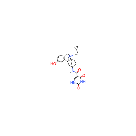 CN(C(=O)c1c[nH]c(=O)[nH]c1=O)C1CCC23CCC1C21CCN(CC2CC2)C3Cc2ccc(O)cc21